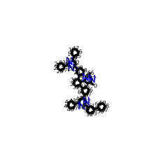 Cc1cc(-c2c(-c3cccc(-c4cc(-c5ccccc5)nc(-c5ccccc5)n4)c3)cccc2-c2cccc(-c3cc(-c4ccccc4)nc(-c4cccc(-c5ccccc5)c4)n3)c2)nc(C)n1